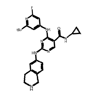 CC(C)(C)c1cc(Nc2nc(Nc3ccc4c(c3)CCNC4)ncc2C(=O)NC2CC2)cc(F)n1